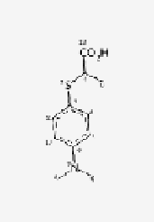 CC(Sc1ccc(N(C)C)cc1)C(=O)O